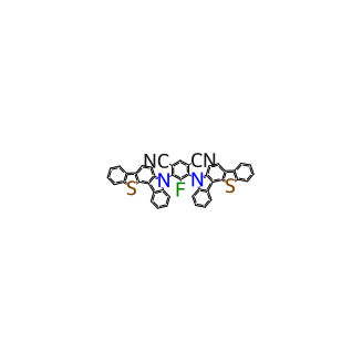 N#Cc1cc(C#N)c(-n2c3ccccc3c3c4sc5ccccc5c4ccc32)c(F)c1-n1c2ccccc2c2c3sc4ccccc4c3ccc21